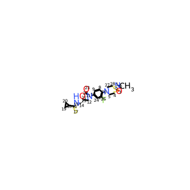 CN=S1(=O)CCN(c2ccc(N3C[C@H](CNC(=S)C4CC4)OC3=O)cc2F)CC1